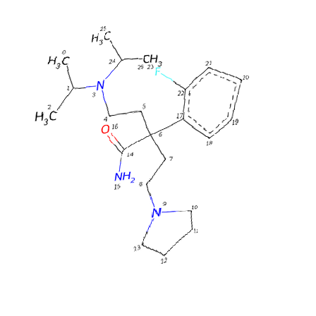 CC(C)N(CCC(CCN1CCCC1)(C(N)=O)c1ccccc1F)C(C)C